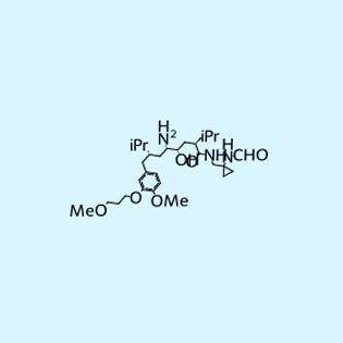 COCCCOc1cc(C[C@@H](C[C@H](N)[C@@H](O)C[C@H](C(=O)NCC2(NC=O)CC2)C(C)C)C(C)C)ccc1OC